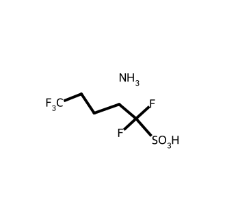 N.O=S(=O)(O)C(F)(F)CCCC(F)(F)F